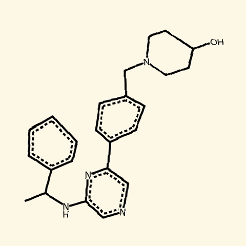 CC(Nc1cncc(-c2ccc(CN3CCC(O)CC3)cc2)n1)c1ccccc1